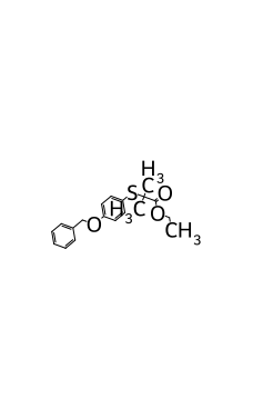 CCOC(=O)C(C)(C)Sc1ccc(OCc2ccccc2)cc1